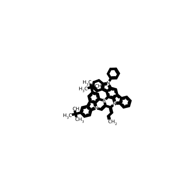 C=C/C=C1\C2=Cn3c4ccc(C(C)(C)C)cc4c4cc(C(C)(C)C)cc(c43)B2c2c3c4c(n(C5=CC=CCC5)c3cc3c5ccccc5n1c23)CCC=C4